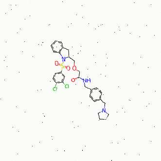 O=C(COCC1Cc2ccccc2N1S(=O)(=O)c1ccc(Cl)c(Cl)c1)NCc1ccc(CN2CCCC2)cc1